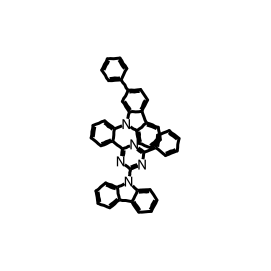 c1ccc(-c2ccc3c4ccccc4n(-c4ccccc4-c4nc(-c5ccccc5)nc(-n5c6ccccc6c6ccccc65)n4)c3c2)cc1